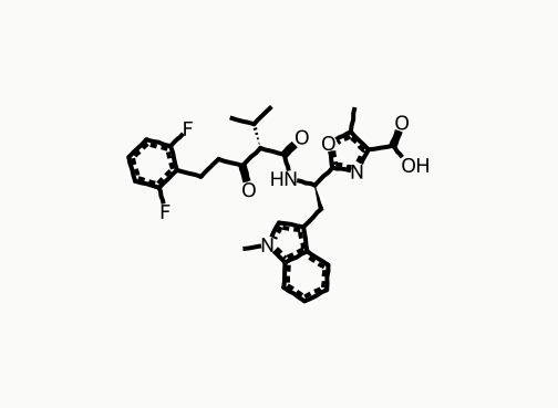 Cc1oc([C@@H](Cc2cn(C)c3ccccc23)NC(=O)[C@H](C(=O)CCc2c(F)cccc2F)C(C)C)nc1C(=O)O